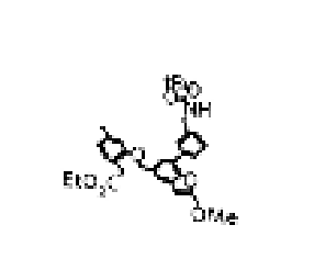 CCOC(=O)Cc1ccc(C)cc1OCc1cc(-c2cccc(CNC(=O)OC(C)(C)C)c2)c2oc(COC)cc2c1